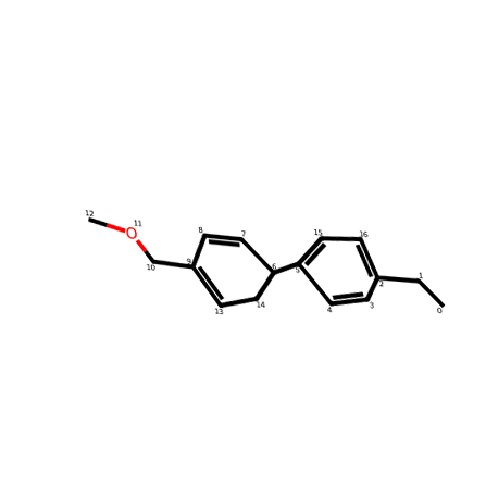 CCc1ccc(C2C=CC(COC)=CC2)cc1